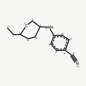 CCC1CCC(Nc2ccc(C#N)cc2)CC1